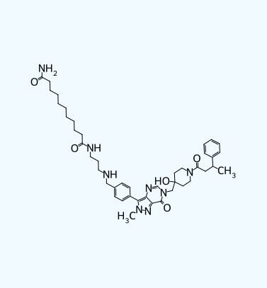 CC(CC(=O)N1CCC(O)(Cn2cnc3c(-c4ccc(CNCCCNC(=O)CCCCCCCCCC(N)=O)cc4)n(C)nc3c2=O)CC1)c1ccccc1